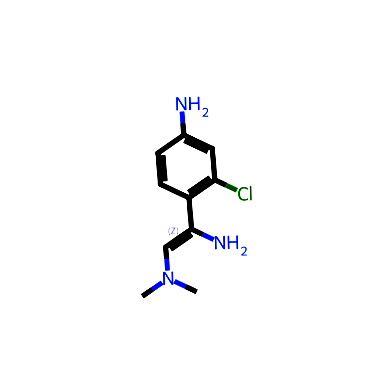 CN(C)/C=C(\N)c1ccc(N)cc1Cl